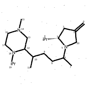 C=C1C[C@@H](C(C)C)N(C(C)CCC(C)C2CN(C)CCN2C(C)C)C1